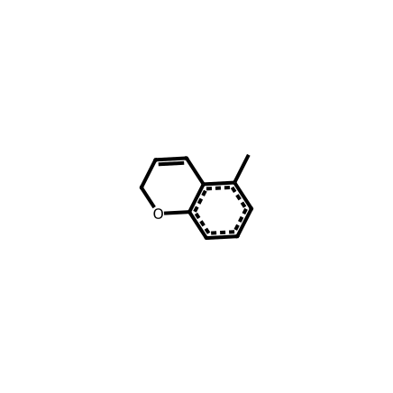 Cc1cccc2c1C=CCO2